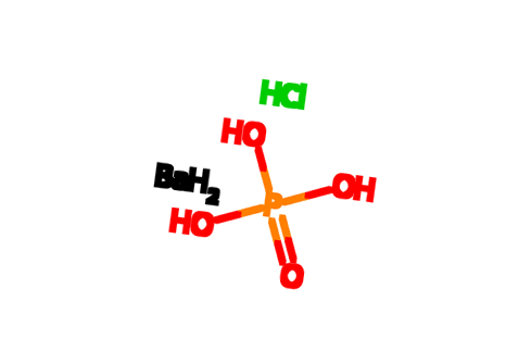 Cl.O=P(O)(O)O.[BaH2]